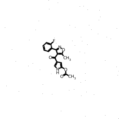 CC(=O)Oc1cc(C(=O)c2c(-c3ccccc3F)noc2C)c[nH]1